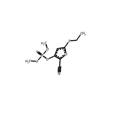 CCSc1cc(OP(=S)(OC)OC)c(C#N)s1